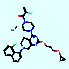 C=C(F)C(=O)N1CCN(c2nc(OCCCOC3CC3)nc3c2CCN(c2cccc4cccc(Cl)c24)C3)C[C@@H]1CC#N